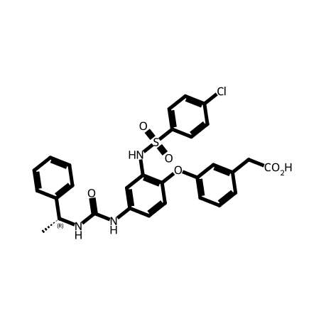 C[C@@H](NC(=O)Nc1ccc(Oc2cccc(CC(=O)O)c2)c(NS(=O)(=O)c2ccc(Cl)cc2)c1)c1ccccc1